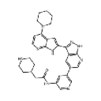 O=C(CC1CCNCC1)Nc1cncc(-c2cnc3[nH]nc(-c4cc5c(N6CCCCC6)ccnc5[nH]4)c3c2)c1